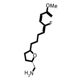 C=C(/C=C\C(F)=C/CCCC1CC[C@@H](CN)O1)OC